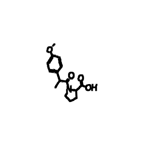 COc1ccc(C(C)C(=O)N2CCCC2C(=O)O)cc1